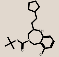 CC(C)(C)OC(=O)N1Cc2c(Cl)cccc2NC(CCC2CCCC2)C1